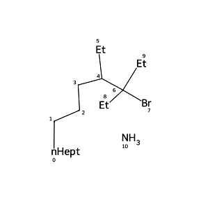 CCCCCCCCCCC(CC)C(Br)(CC)CC.N